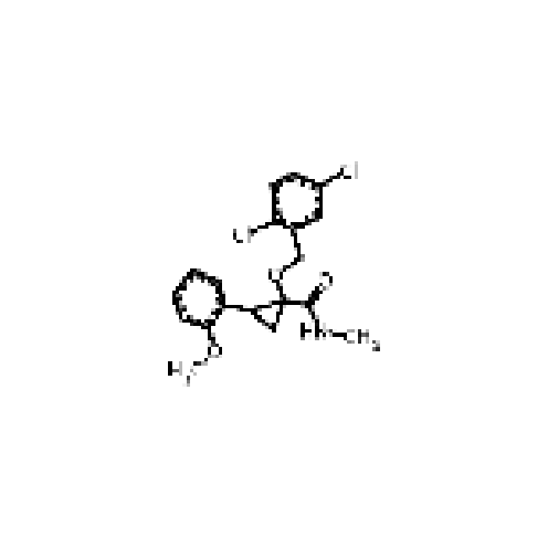 CNC(=O)C1(OCc2cc(Cl)ccc2Cl)CC1c1ccccc1OC